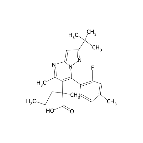 CCCC(C)(C(=O)O)c1c(C)nc2cc(C(C)(C)C)nn2c1-c1ccc(C)cc1F